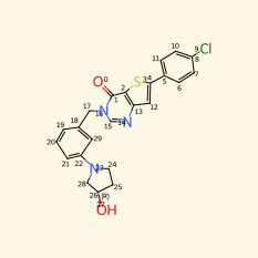 O=c1c2sc(-c3ccc(Cl)cc3)cc2ncn1Cc1cccc(N2CC[C@@H](O)C2)c1